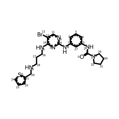 O=C(Nc1cccc(Nc2ncc(Br)c(NCCCNCc3cccs3)n2)c1)N1CCCC1